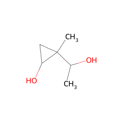 CC(O)C1(C)CC1O